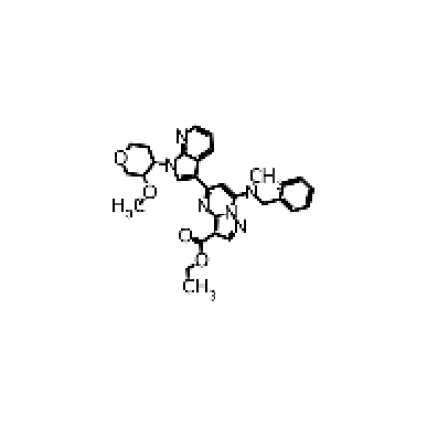 CCOC(=O)c1cnn2c(N(C)Cc3ccccc3)cc(-c3cn([C@@H]4CCOC[C@@H]4OC)c4ncccc34)nc12